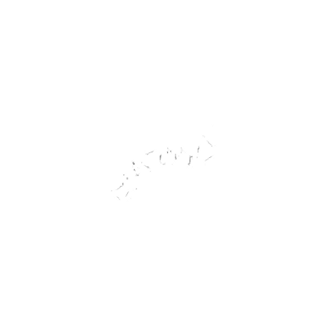 Cc1ccc(C(=O)NC(=S)Nc2ccc(S(=O)(=O)Nc3ccccc3)cc2)cc1I